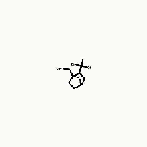 CCC(C)(CC)C1CC2CCC1(COC)O2